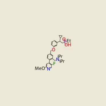 CCP(=O)(O)CC(c1cccc(OCc2ccc(-c3cc(OC)ncc3F)c(CN(C(C)C)C(C)C)c2)c1)C1CC1